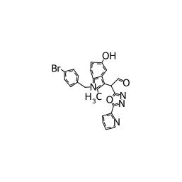 Cc1c(C(C=O)c2nnc(-c3ccccn3)o2)c2cc(O)ccc2n1Cc1ccc(Br)cc1